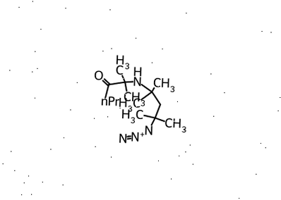 CCCC(=O)C(C)(C)NC(C)(C)CC(C)(C)N=[N+]=[N-]